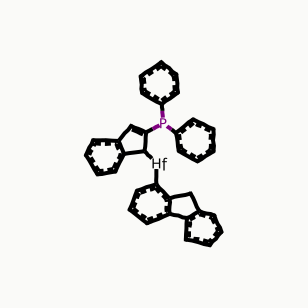 C1=C(P(c2ccccc2)c2ccccc2)[CH]([Hf][c]2cccc3c2Cc2ccccc2-3)c2ccccc21